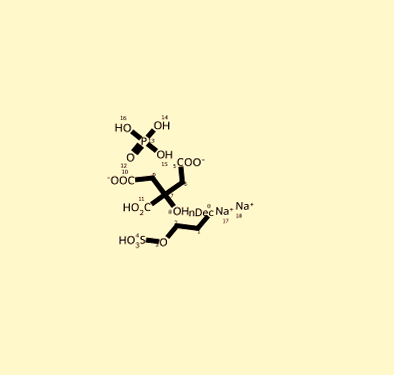 CCCCCCCCCCCCOS(=O)(=O)O.O=C([O-])CC(O)(CC(=O)[O-])C(=O)O.O=P(O)(O)O.[Na+].[Na+]